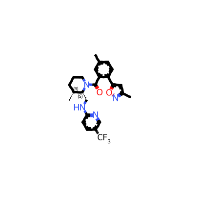 Cc1ccc(-c2cc(C)no2)c(C(=O)N2CCC[C@@H](C)[C@H]2CNc2ccc(C(F)(F)F)cn2)c1